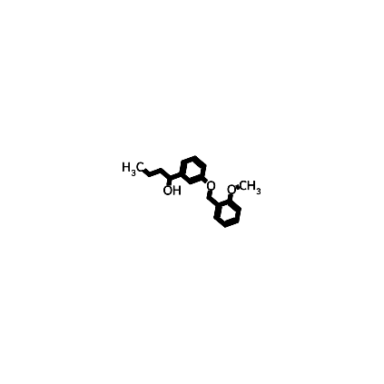 CCCC(O)c1cccc(OCc2ccccc2OC)c1